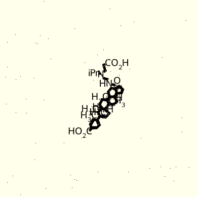 CC(C)N(CCNC(=O)[C@]12CCC[C@@H]1[C@H]1CC[C@@H]3[C@@]4(C)CC=C(c5ccc(C(=O)O)cc5)C(C)(C)[C@@H]4CC[C@@]3(C)[C@]1(C)CC2)CCC(=O)O